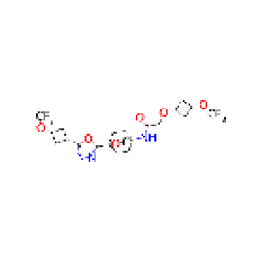 O=C(CO[C@H]1C[C@@H](OC(F)(F)F)C1)NC12CCC(c3nnc([C@H]4C[C@@H](OC(F)(F)F)C4)o3)(CC1)OC2